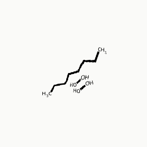 CCCCCCCC.OO.OO